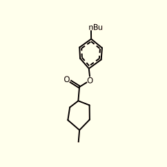 CCCCc1ccc(OC(=O)C2CCC(C)CC2)cc1